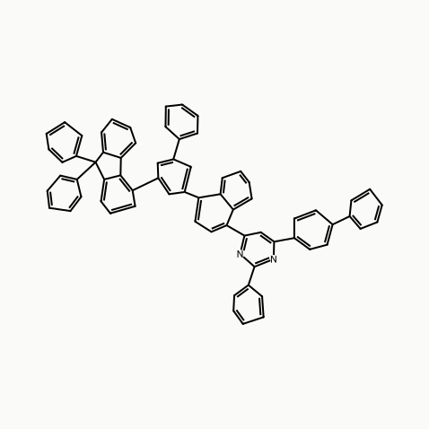 c1ccc(-c2ccc(-c3cc(-c4ccc(-c5cc(-c6ccccc6)cc(-c6cccc7c6-c6ccccc6C7(c6ccccc6)c6ccccc6)c5)c5ccccc45)nc(-c4ccccc4)n3)cc2)cc1